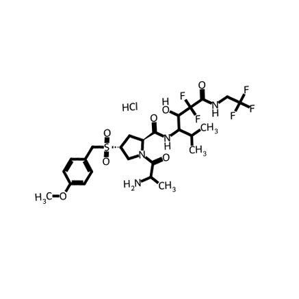 COc1ccc(CS(=O)(=O)[C@@H]2C[C@@H](C(=O)NC(C(C)C)C(O)C(F)(F)C(=O)NCC(F)(F)F)N(C(=O)C(C)N)C2)cc1.Cl